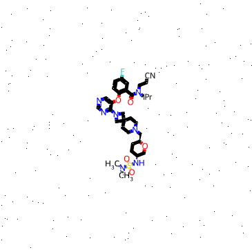 CC(C)N(CCC#N)C(=O)c1cc(F)ccc1Oc1cncnc1N1CC2(CCN(C[C@@H]3CC[C@@H](NS(=O)(=O)N(C)C)CO3)CC2)C1